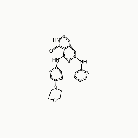 O=c1[nH]ccc2cc(Nc3ccccn3)nc(Nc3ccc(N4CCOCC4)cc3)c12